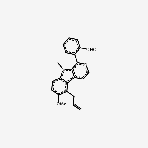 C=CCc1c(OC)ccc2c1c1ccnc(-c3ccccc3C=O)c1n2C